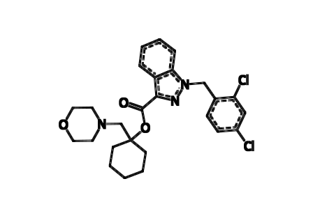 O=C(OC1(CN2CCOCC2)CCCCC1)c1nn(Cc2ccc(Cl)cc2Cl)c2ccccc12